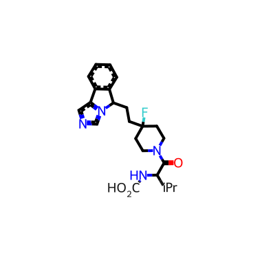 CC(C)C(NC(=O)O)C(=O)N1CCC(F)(CCC2c3ccccc3-c3cncn32)CC1